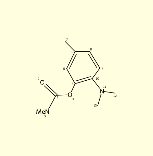 CNC(=O)Oc1cc(C)ccc1N(C)C